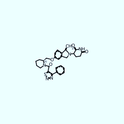 C=C1c2ccc(OC[C@@H]3CCCCN3C(=O)c3snnc3-c3ccccc3)cc2CN1C1CCC(=O)NC1=O